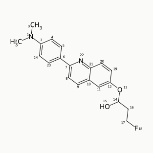 CN(C)c1ccc(-c2ccc3cc(OC(O)CCF)ccc3n2)cc1